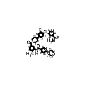 Cc1ccc(C(=O)N2CCC(c3ccc(Cl)c(Cl)c3)CC2)cc1NC(=O)c1ccc(N2CCOCC2)nc1.NC(=O)c1cccnc1